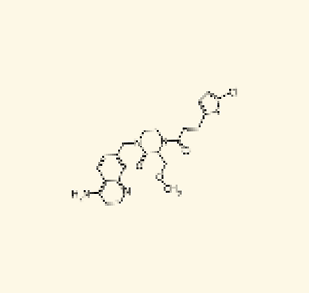 COCC1C(=O)N(Cc2ccc3c(N)ccnc3c2)CCN1C(=O)C=Cc1ccc(Cl)s1